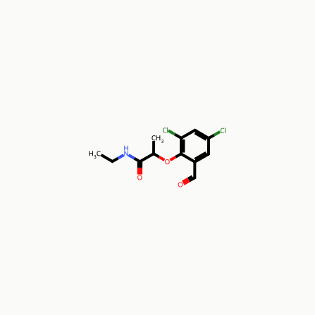 CCNC(=O)C(C)Oc1c(Cl)cc(Cl)cc1C=O